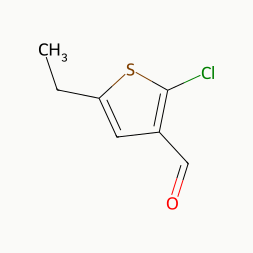 CCc1cc(C=O)c(Cl)s1